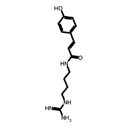 N=C(N)NCCCCNC(=O)C=Cc1ccc(O)cc1